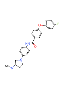 CC(=O)N(C)C1CCN(c2ccc(NC(=O)c3ccc(Oc4ccc(F)cc4)cc3)cc2)C1